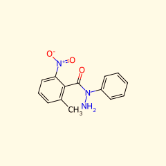 Cc1cccc([N+](=O)[O-])c1C(=O)N(N)c1ccccc1